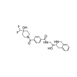 O=C(NCC(O)[C@@H]1Cc2ccccc2CN1)c1ccc(C(=O)N2CCC(O)(C(F)F)CC2)cc1